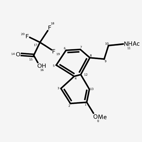 COc1ccc2cccc(CCNC(C)=O)c2c1.O=C(O)C(F)(F)F